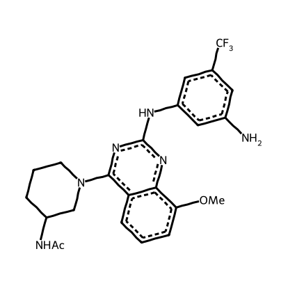 COc1cccc2c(N3CCCC(NC(C)=O)C3)nc(Nc3cc(N)cc(C(F)(F)F)c3)nc12